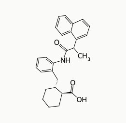 CC(C(=O)Nc1ccccc1C[C@H]1CCCC[C@@H]1C(=O)O)c1cccc2ccccc12